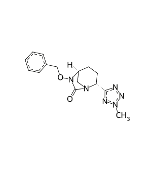 Cn1nnc([C@H]2CC[C@H]3CN2C(=O)N3OCc2ccccc2)n1